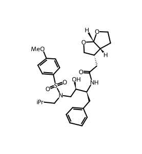 COc1ccc(S(=O)(=O)N(CC(C)C)C[C@@H](O)[C@H](Cc2ccccc2)NC(=O)C[C@@H]2CO[C@@H]3OCC[C@H]23)cc1